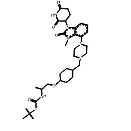 CC(COC1CCC(CN2CCN(c3cccc4c3n(C)c(=O)n4C3CCC(=O)NC3=O)CC2)CC1)NC(=O)OC(C)(C)C